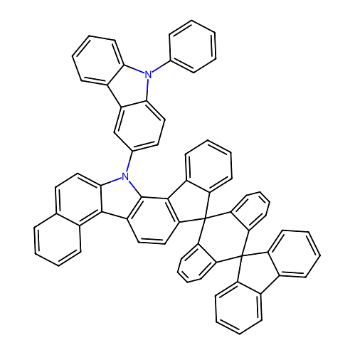 c1ccc(-n2c3ccccc3c3cc(-n4c5ccc6ccccc6c5c5ccc6c(c54)-c4ccccc4C64c5ccccc5C5(c6ccccc6-c6ccccc65)c5ccccc54)ccc32)cc1